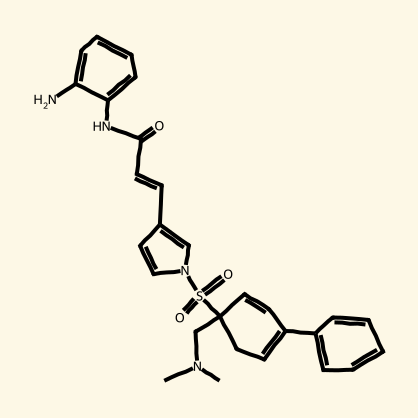 CN(C)CC1(S(=O)(=O)n2ccc(C=CC(=O)Nc3ccccc3N)c2)C=CC(c2ccccc2)=CC1